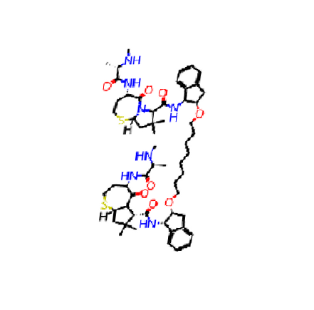 CN[C@@H](C)C(=O)N[C@H]1CCS[C@H]2CC(C)(C)[C@@H](C(=O)N[C@H]3c4ccccc4C[C@H]3OCCCCCCCCO[C@@H]3Cc4ccccc4[C@@H]3NC(=O)C3N4C(=O)[C@@H](NC(=O)[C@H](C)NC)CCS[C@H]4CC3(C)C)C2C1=O